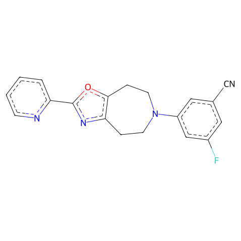 N#Cc1cc(F)cc(N2CCc3nc(-c4ccccn4)oc3CC2)c1